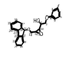 OC(COc1ccccc1)C1OC1COC1c2ccccc2-c2ccccc21